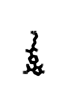 CCCCCC(F)=C(F)c1ccc(-c2c(C(=O)O)ccc(F)c2F)cc1